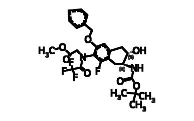 COC(=O)CN(C(=O)C(F)(F)F)c1c(OCc2ccccc2)cc2c(c1F)C[C@H](NC(=O)OC(C)(C)C)[C@@H](O)C2